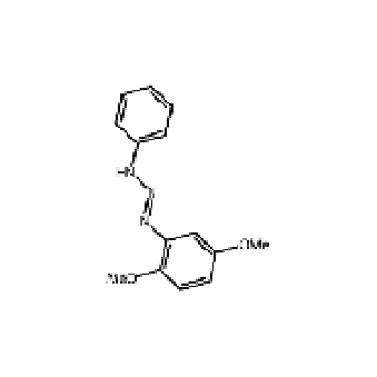 COc1ccc(OC)c(N=NNc2ccccc2)c1